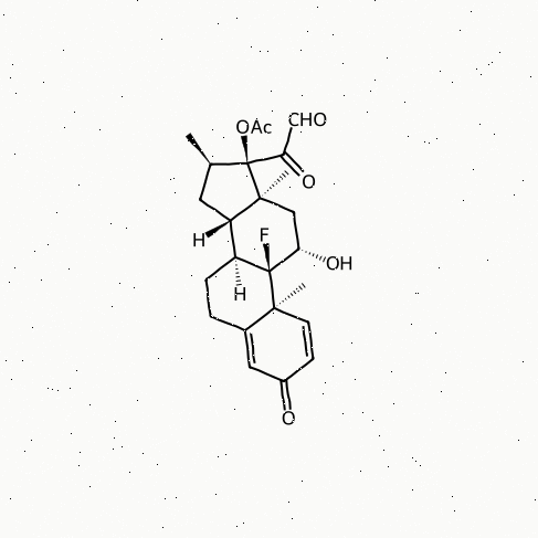 CC(=O)O[C@]1(C(=O)C=O)[C@H](C)C[C@H]2[C@@H]3CCC4=CC(=O)C=C[C@]4(C)[C@@]3(F)[C@@H](O)C[C@@]21C